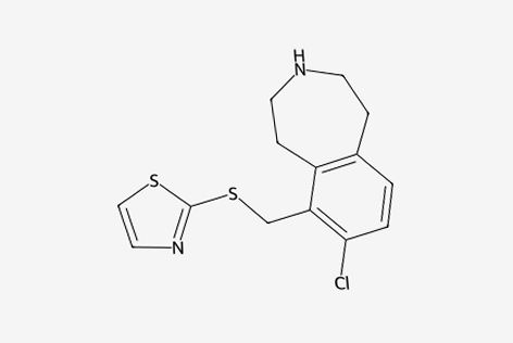 Clc1ccc2c(c1CSc1nccs1)CCNCC2